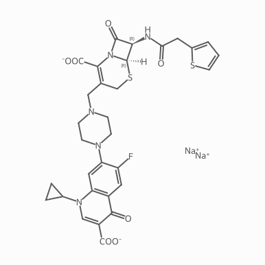 O=C(Cc1cccs1)N[C@@H]1C(=O)N2C(C(=O)[O-])=C(CN3CCN(c4cc5c(cc4F)c(=O)c(C(=O)[O-])cn5C4CC4)CC3)CS[C@H]12.[Na+].[Na+]